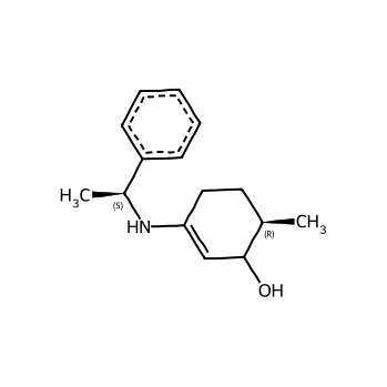 C[C@H](NC1=CC(O)[C@H](C)CC1)c1ccccc1